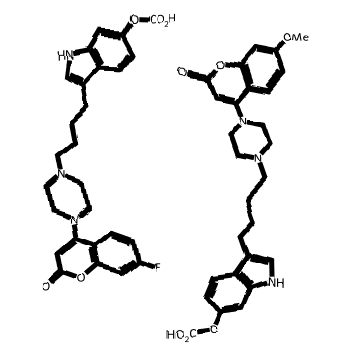 COc1ccc2c(N3CCN(CCCCc4c[nH]c5cc(OC(=O)O)ccc45)CC3)cc(=O)oc2c1.O=C(O)Oc1ccc2c(CCCCN3CCN(c4cc(=O)oc5cc(F)ccc45)CC3)c[nH]c2c1